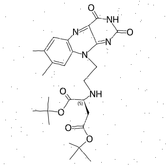 Cc1cc2nc3c(=O)[nH]c(=O)nc-3n(CCN[C@@H](CC(=O)OC(C)(C)C)C(=O)OC(C)(C)C)c2cc1C